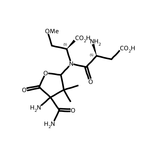 COC[C@@H](C(=O)O)N(C(=O)[C@@H](N)CC(=O)O)C1OC(=O)C(N)(C(N)=O)C1(C)C